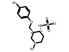 CCS(=O)(=O)N[C@@H]1CCN(C(C)=O)C[C@H]1COc1ccc(C(C)C)cc1